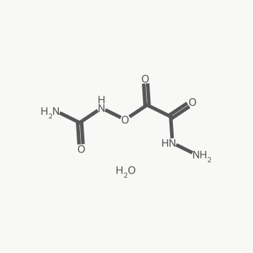 NNC(=O)C(=O)ONC(N)=O.O